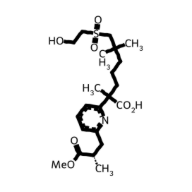 COC(=O)[C@@H](C)Cc1cccc(C(C)(CCCC(C)(C)CS(=O)(=O)CCO)C(=O)O)n1